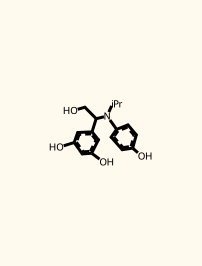 CC(C)N(c1ccc(O)cc1)C(CO)c1cc(O)cc(O)c1